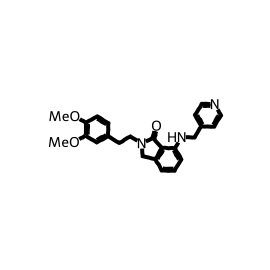 COc1ccc(CCN2Cc3cccc(NCc4ccncc4)c3C2=O)cc1OC